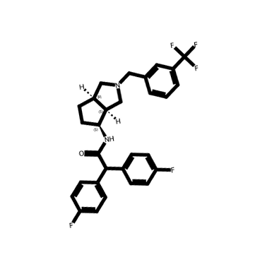 O=C(N[C@H]1CC[C@H]2CN(Cc3cccc(C(F)(F)F)c3)C[C@H]21)C(c1ccc(F)cc1)c1ccc(F)cc1